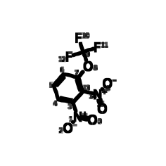 O=[N+]([O-])c1cccc(OC(F)(F)F)c1[N+](=O)[O-]